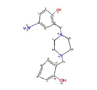 Nc1ccc(O)c(CN2CCN(Cc3ccccc3O)CC2)c1